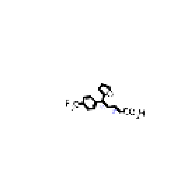 O=C(O)/C=C/C=C(/c1ccc(C(F)(F)F)cc1)c1ccco1